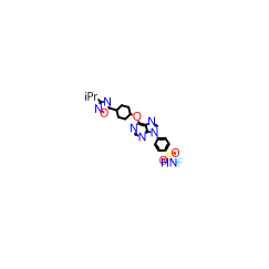 CC(C)c1noc(C2CCC(Oc3ncnc4c3ncn4-c3ccc(S(=O)(=O)NF)cc3)CC2)n1